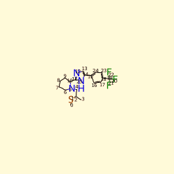 CSC(C)CN1CCCCC1c1ncc(-c2ccc(C(F)(F)F)cc2)[nH]1